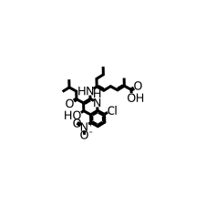 CCCC(=CC/C=C(\C)C(=O)O)NC1=C(C(=O)CC(C)C)C(O)c2c([N+](=O)[O-])ccc(Cl)c2N1